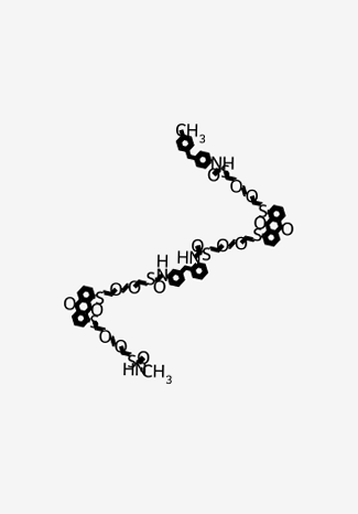 CNC(=O)SCCOCCOCCSc1cccc2c1C(=O)c1c(SCCOCCOCCSC(=O)Nc3cccc(Cc4ccccc4NC(=O)SCCOCCOCCSc4cccc5c4C(=O)c4c(SCCOCCOCCSC(=O)Nc6ccc(Cc7ccc(C)cc7)cc6)cccc4C5=O)c3)cccc1C2=O